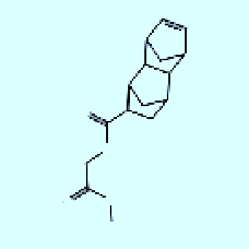 CCCOC(=O)COC(=O)C1CC2CC1C1C3C=CC(C3)C21